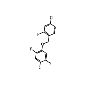 Fc1cc(F)c(OCc2ccc(Cl)cc2F)cc1I